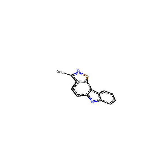 O=Cc1[nH]sc2c1ccc1nc3ccccc3c12